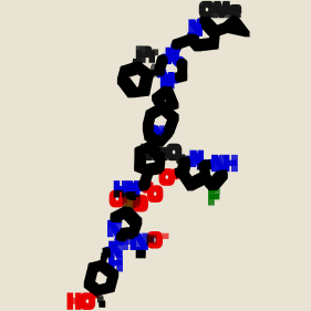 COc1nc2[nH]cc(F)c2cc1Oc1cc(N2C3CCC2CC2(C3)CC(N3CCN(Cc4ccc(C5CC5)c(OC)n4)C[C@H]3c3ccccc3C(C)C)C2)ccc1C(=O)NS(=O)(=O)c1cnc(NC[C@H]2CC[C@](C)(O)CC2)c([NH+](C)[O-])c1